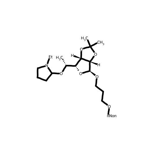 CCCCCCCCCOCCCO[C@H]1O[C@H]([C@@H](C)OC2CCCN2CC)[C@@H]2OC(C)(C)O[C@H]12